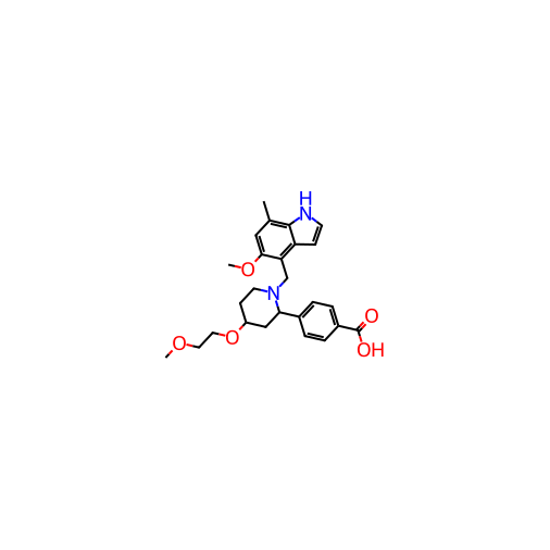 COCCOC1CCN(Cc2c(OC)cc(C)c3[nH]ccc23)C(c2ccc(C(=O)O)cc2)C1